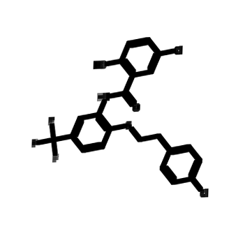 O=C(Nc1cc(C(F)(F)F)ccc1SCCc1ccc(Cl)cc1)c1cc(Cl)ccc1O